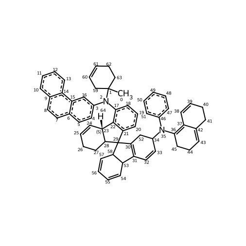 CC1(N(c2ccc3ccc4ccccc4c3c2)c2cccc3c2[C@H]2C=CCCC2C32C3=C(C=CC(N(C4=C5C=CCCC5=CCC4)c4ccccc4)C3)C3C=CC=CC32)CC=CCC1